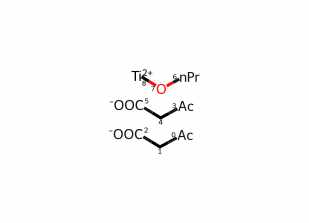 CC(=O)CC(=O)[O-].CC(=O)CC(=O)[O-].CCC[O][Ti+2]